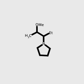 CCC(C(C)OC)N1CCCC1